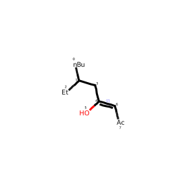 CCCCC(CC)C/C(O)=C/C(C)=O